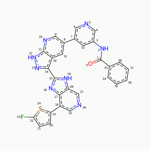 O=C(Nc1cncc(-c2cnc3[nH]nc(-c4nc5c(-c6ccc(F)s6)cncc5[nH]4)c3c2)c1)c1ccccc1